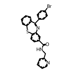 O=C(NCc1ccccn1)c1ccc2c(c1)N=C(c1ccc(Br)cc1)c1ccccc1S2